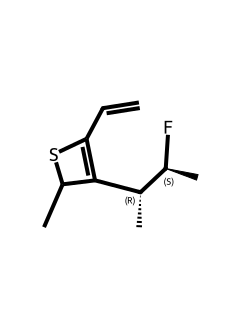 C=CC1=C([C@@H](C)[C@H](C)F)C(C)S1